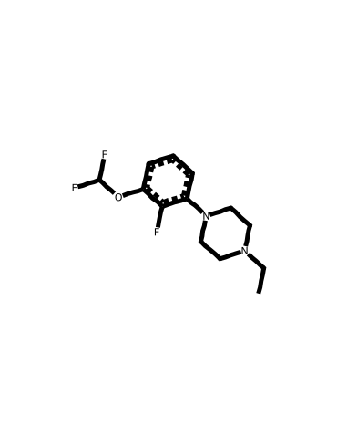 CCN1CCN(c2cccc(OC(F)F)c2F)CC1